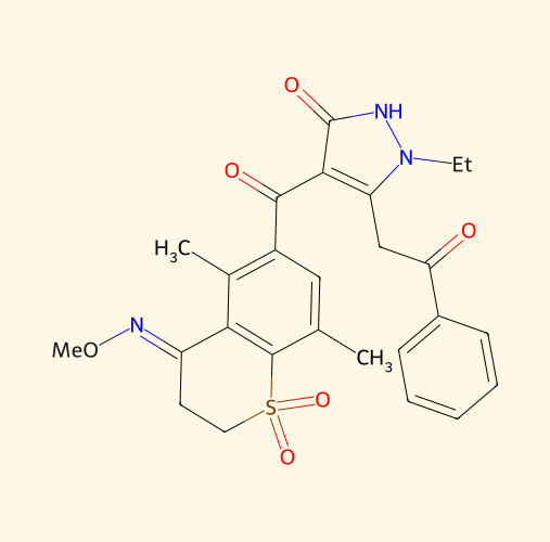 CCn1[nH]c(=O)c(C(=O)c2cc(C)c3c(c2C)C(=NOC)CCS3(=O)=O)c1CC(=O)c1ccccc1